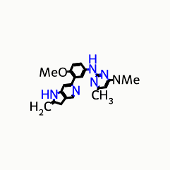 C=C1Cc2cnc(-c3cc(Nc4nc(C)cc(NC)n4)ccc3OC)cc2N1